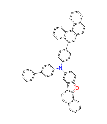 c1ccc(-c2ccc(N(c3ccc(-c4cc5ccc6ccccc6c5c5ccccc45)cc3)c3ccc4oc5c6ccccc6ccc5c4c3)cc2)cc1